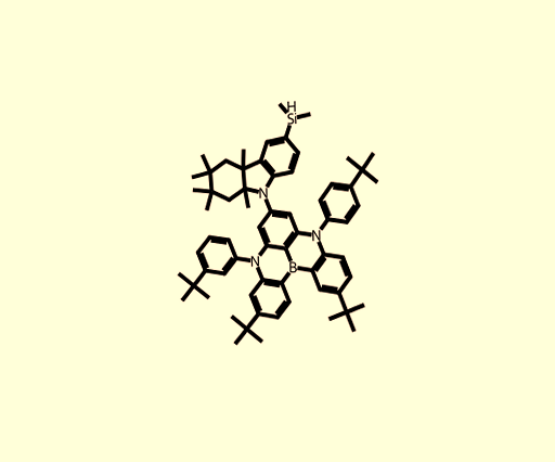 C[SiH](C)c1ccc2c(c1)C1(C)CC(C)(C)C(C)(C)CC1(C)N2c1cc2c3c(c1)N(c1cccc(C(C)(C)C)c1)c1cc(C(C)(C)C)ccc1B3c1cc(C(C)(C)C)ccc1N2c1ccc(C(C)(C)C)cc1